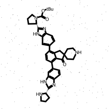 CC(C)(C)OC(=O)N1CCC[C@H]1c1nc2ccc(-c3ccc(-c4ccc5nc([C@@H]6CCCN6)[nH]c5c4)c4c3CC3(CCNCC3)C4=O)cc2[nH]1